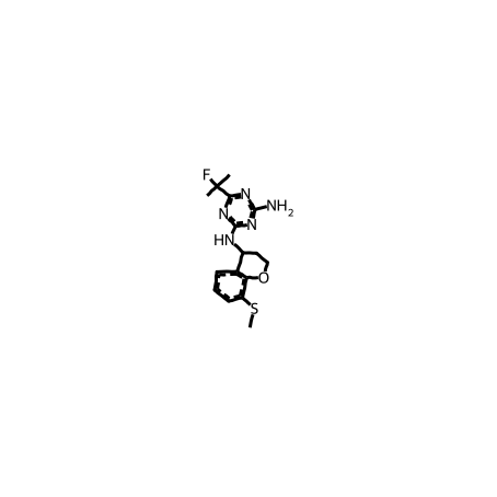 CSc1cccc2c1OCCC2Nc1nc(N)nc(C(C)(C)F)n1